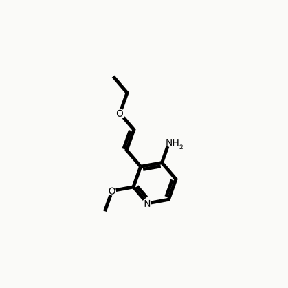 CCOC=Cc1c(N)ccnc1OC